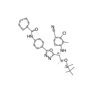 Cc1c(N[C@@H](c2nnc(-c3ccc(NC(=O)c4ccccc4)cc3)o2)[C@@H](C)O[Si](C)(C)C(C)(C)C)ccc(C#N)c1Cl